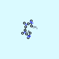 Cc1cccc(-c2nc3ccccn3c2-c2ccc(N(c3ccccc3)c3ccc(-c4ccc(N(c5ccccc5)c5ccc(-c6c(-c7cccc(C)c7)nc7ccccn67)cc5)cc4)cc3)cc2)c1